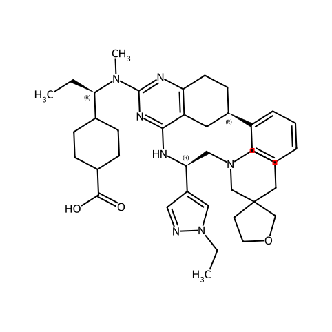 CC[C@H](C1CCC(C(=O)O)CC1)N(C)c1nc2c(c(N[C@@H](CN3CCCC4(CCOC4)C3)c3cnn(CC)c3)n1)C[C@H](c1ccccc1)CC2